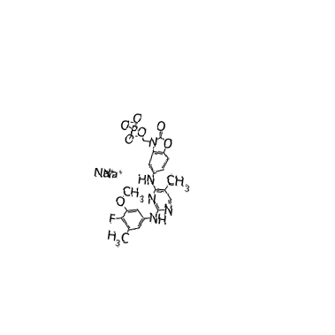 COc1cc(Nc2ncc(C)c(Nc3ccc4oc(=O)n(COP(=O)([O-])[O-])c4c3)n2)cc(C)c1F.[Na+].[Na+]